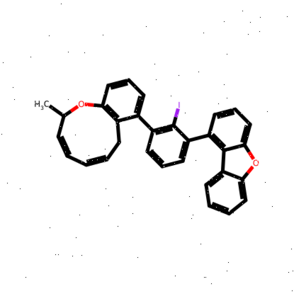 CC1/C=C\C=C/Cc2c(cccc2-c2cccc(-c3cccc4oc5ccccc5c34)c2I)O1